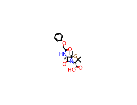 CC1(C)S[C@H]2[C@H](NC(=O)COc3ccccc3)C(=O)N2[C@H]1C(=O)O